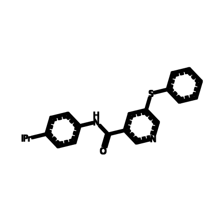 CC(C)c1ccc(NC(=O)c2cncc(Sc3ccccc3)c2)cc1